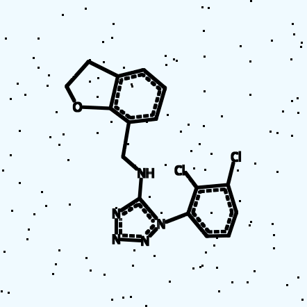 Clc1cccc(-n2nnnc2NCc2cccc3c2OCC3)c1Cl